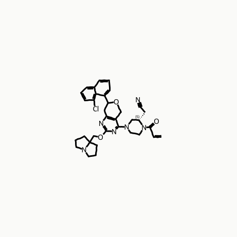 C=CC(=O)N1CCN(c2nc(OCC34CCCN3CCC4)nc3c2COC(c2cccc4cccc(Cl)c24)C3)C[C@@H]1CC#N